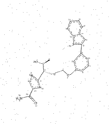 C[C@H](O)[C@H](CCOc1cccc(-c2cc3ccccc3s2)c1)c1nc(C(N)=O)c[nH]1